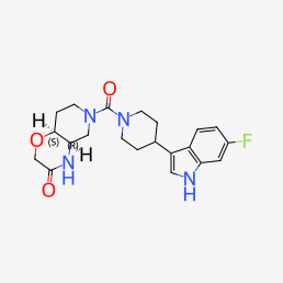 O=C1CO[C@H]2CCN(C(=O)N3CCC(c4c[nH]c5cc(F)ccc45)CC3)C[C@H]2N1